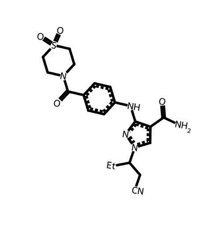 CCC(CC#N)n1cc(C(N)=O)c(Nc2ccc(C(=O)N3CCS(=O)(=O)CC3)cc2)n1